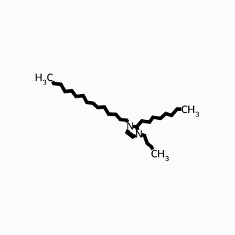 CCCCCCCCCCCCCCCN1C=CN(CCCC)C1CCCCCCCC